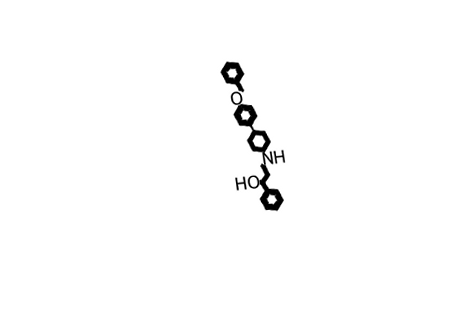 OC(CCN[C@H]1CC[C@H](c2ccc(OCc3ccccc3)cc2)CC1)c1ccccc1